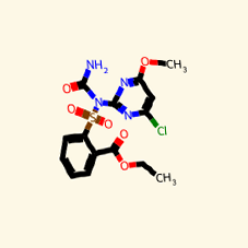 CCOC(=O)c1ccccc1S(=O)(=O)N(C(N)=O)c1nc(Cl)cc(OC)n1